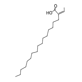 CC=C(CCCCCCCCCCCCCCCC)C(=O)O